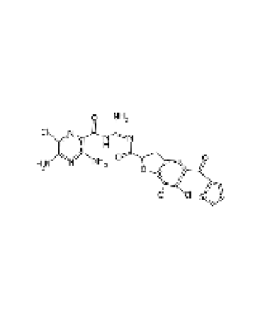 NC(=NC(=O)C1Cc2cc(C(=O)c3cccs3)c(Cl)c(Cl)c2O1)NC(=O)c1nc(Cl)c(N)nc1N